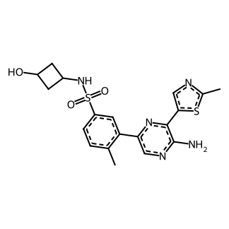 Cc1ncc(-c2nc(-c3cc(S(=O)(=O)NC4CC(O)C4)ccc3C)cnc2N)s1